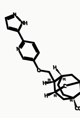 O=C(O)[C@@]12CC[C@@H]3CC(C[C@H](C1)[C@@H]3COc1ccc(-c3ccn[nH]3)nc1)C2